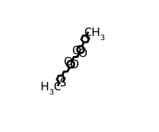 CC1=CCC(C2COC(CCC3OCC(CCC4CCC(C)SC4)CO3)OC2)CC1